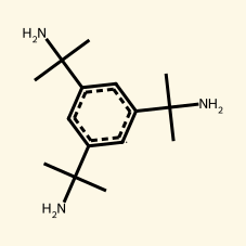 CC(C)(N)c1[c]c(C(C)(C)N)cc(C(C)(C)N)c1